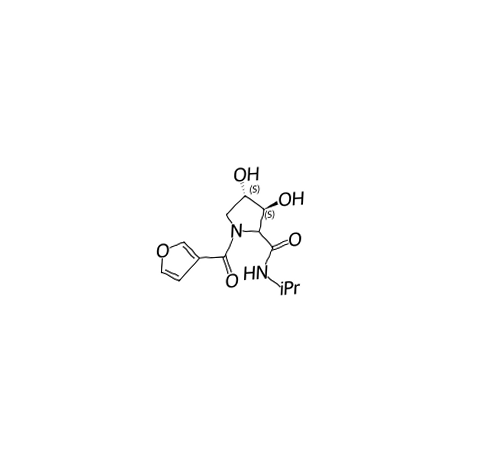 CC(C)NC(=O)C1[C@H](O)[C@@H](O)CN1C(=O)c1ccoc1